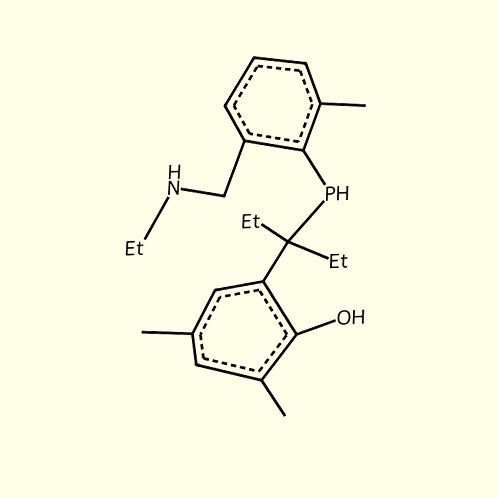 CCNCc1cccc(C)c1PC(CC)(CC)c1cc(C)cc(C)c1O